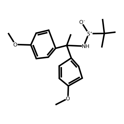 COc1ccc(C(C)(N[S+]([O-])C(C)(C)C)c2ccc(OC)cc2)cc1